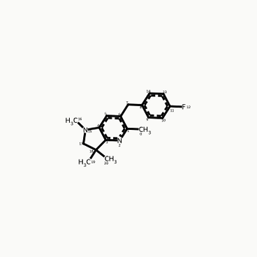 Cc1nc2c(cc1Cc1ccc(F)cc1)N(C)CC2(C)C